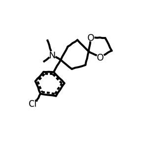 CN(C)C1(c2ccc(Cl)cc2)CCC2(CC1)OCCO2